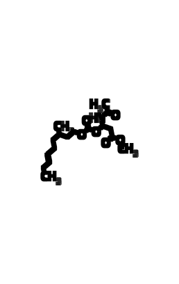 CCC=CCCC(C)CCOC(=O)OC(CC(=O)OC)NC(C)=O